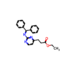 CCOC(=O)CCc1ccnc(N=C(c2ccccc2)c2ccccc2)n1